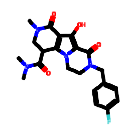 CN(C)C(=O)C1CN(C)C(=O)c2c(O)c3n(c21)CCN(Cc1ccc(F)cc1)C3=O